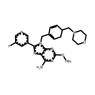 CCCCOc1nc(N)c2nc(-c3cncc(F)c3)n(CC3=CCC(CN4CCOCC4)C=C3)c2n1